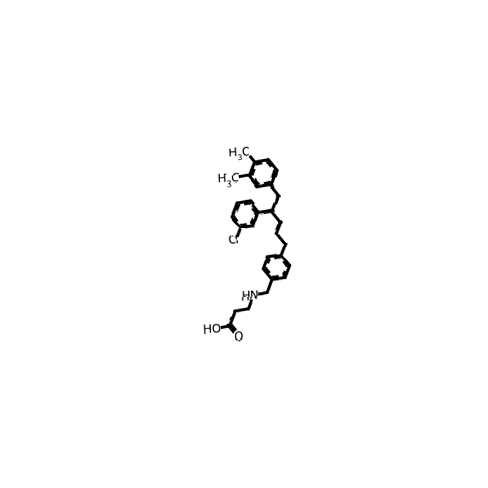 Cc1ccc(CC(CCCc2ccc(CNCCC(=O)O)cc2)c2cccc(Cl)c2)cc1C